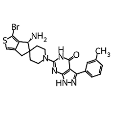 Cc1cccc(-c2n[nH]c3nc(N4CCC5(CC4)Cc4csc(Br)c4[C@H]5N)[nH]c(=O)c23)c1